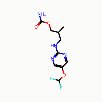 CC(CNc1ncc(OC(F)F)cn1)COC(N)=O